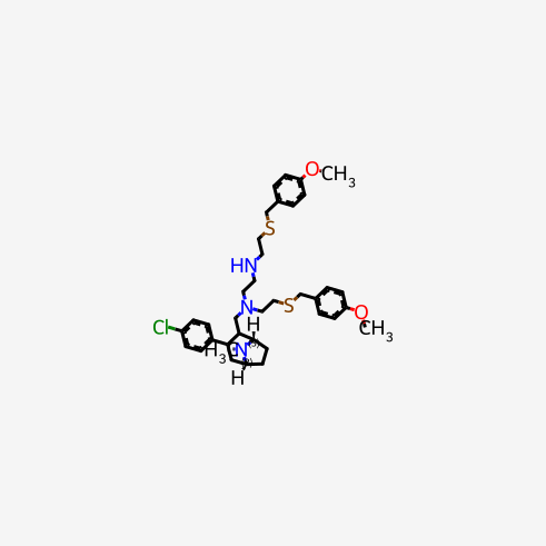 COc1ccc(CSCCNCCN(CCSCc2ccc(OC)cc2)CC2C(c3ccc(Cl)cc3)C[C@H]3CC[C@@H]2N3C)cc1